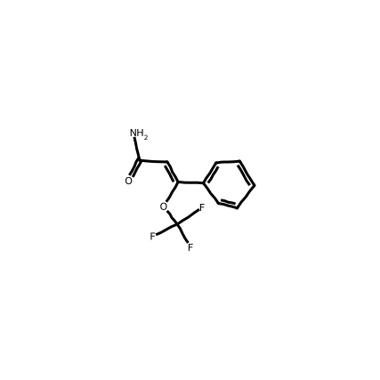 NC(=O)C=C(OC(F)(F)F)c1ccccc1